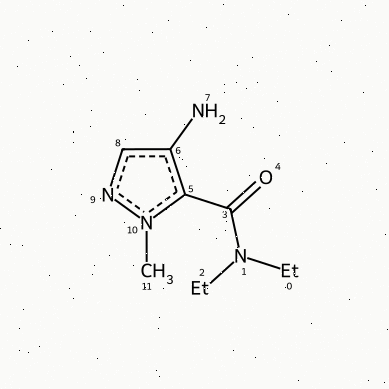 CCN(CC)C(=O)c1c(N)cnn1C